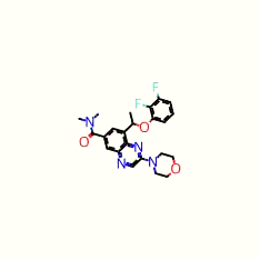 CC(Oc1cccc(F)c1F)c1cc(C(=O)N(C)C)cc2ncc(N3CCOCC3)nc12